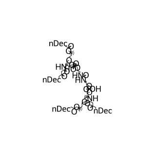 CCCCCCCCCCCC(=O)CC(=O)N[C@H](COCC[C@@H](C)OC(=O)CCCCCCCCCCC)COP(=O)(O)OCCNC(=O)NCCOP(=O)(O)OC[C@@H](COCC[C@@H](C)OC(=O)CCCCCCCCCCC)NC(=O)CC(=O)CCCCCCCCCCC